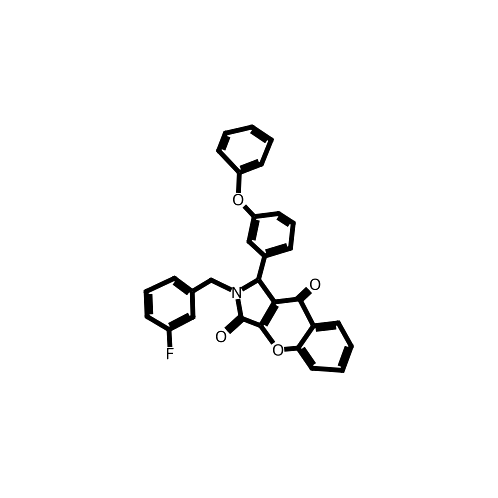 O=C1c2oc3ccccc3c(=O)c2C(c2cccc(Oc3ccccc3)c2)N1Cc1cccc(F)c1